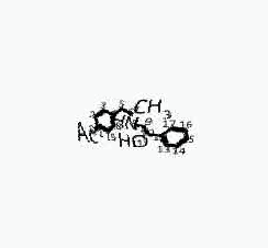 CC(=O)c1ccc(CC(C)NCC(O)c2ccccc2)cc1